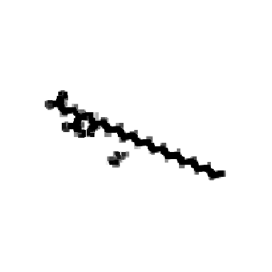 CCCCCCCCCCCCCCCCCC(=O)N[C@H](CCC(=O)[O-])C(=O)[O-].[Na+].[Na+]